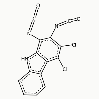 O=C=Nc1c(Cl)c(Cl)c2c([nH]c3ccccc32)c1N=C=O